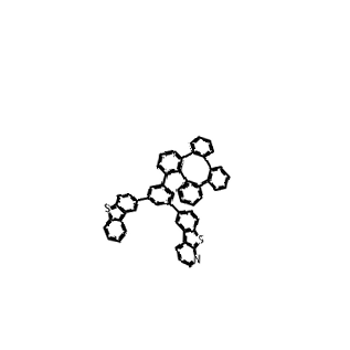 c1ccc2c(c1)-c1ccccc1-c1cccc(-c3cc(-c4ccc5sc6ccccc6c5c4)cc(-c4ccc5sc6ncccc6c5c4)c3)c1-c1ccccc1-2